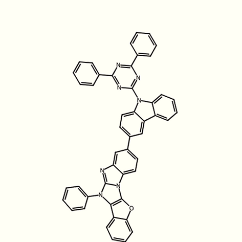 c1ccc(-c2nc(-c3ccccc3)nc(-n3c4ccccc4c4cc(-c5ccc6c(c5)nc5n(-c7ccccc7)c7c8ccccc8oc7n65)ccc43)n2)cc1